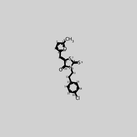 Cc1ccc(C=C2SC(=S)N(CCc3ccc(Cl)cc3)C2=O)o1